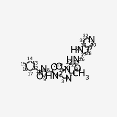 Cc1ncc(NC(=O)c2coc(-c3ccccc3)n2)c(=O)n1CC(=O)NCc1cc2cnccc2[nH]1